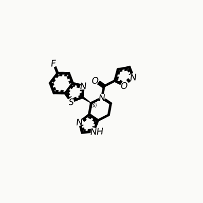 O=C(c1ccno1)N1CCc2[nH]cnc2[C@H]1c1nc2cc(F)ccc2s1